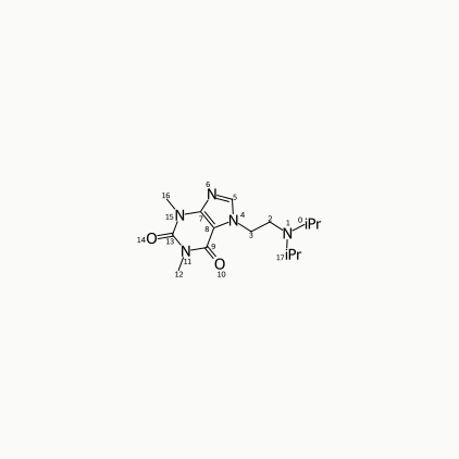 CC(C)N(CCn1cnc2c1c(=O)n(C)c(=O)n2C)C(C)C